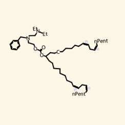 CCCCC/C=C\C/C=C\CCCCCCCCC(CCCCCCCC/C=C\C/C=C\CCCCC)OC(=O)OCCN(CCN(CC)CC)Cc1ccccc1